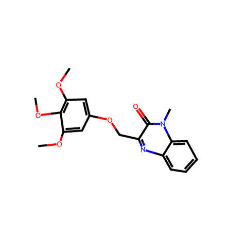 COc1cc(OCc2nc3ccccc3n(C)c2=O)cc(OC)c1OC